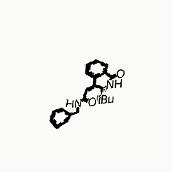 CC[C@H](C)[C@@H]1NC(=O)c2ccccc2C1=CC(=O)NCc1ccccc1